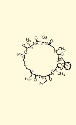 CCC(C)[C@@H]1NC(=O)CN(C)C(=O)[C@@H](Cc2ccccc2)N(C)C(=O)[C@H](C)NC(=O)[C@@H](CC(C)C)OC(=O)/C(C)=C/CCC[C@@H](C(C)C)OC(=O)[C@@H](C)NC1=O